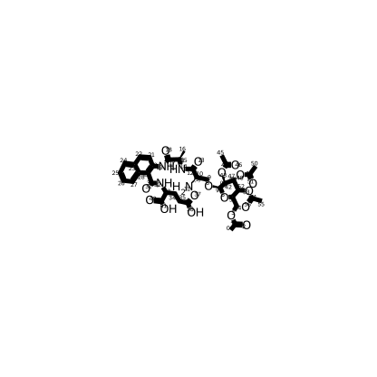 CC(=O)OCC1O[C@@H](OC[C@H](N)C(=O)N[C@H](C)C(=O)Nc2ccc3ccccc3c2C(=O)NC(CCC(=O)O)C(=O)O)[C@@H](OC(C)=O)[C@H](OC(C)=O)C1OC(C)=O